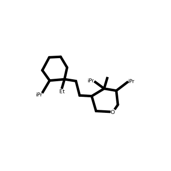 CCC1(CCC2COCC(C(C)C)C2(C)C(C)C)CCCCC1C(C)C